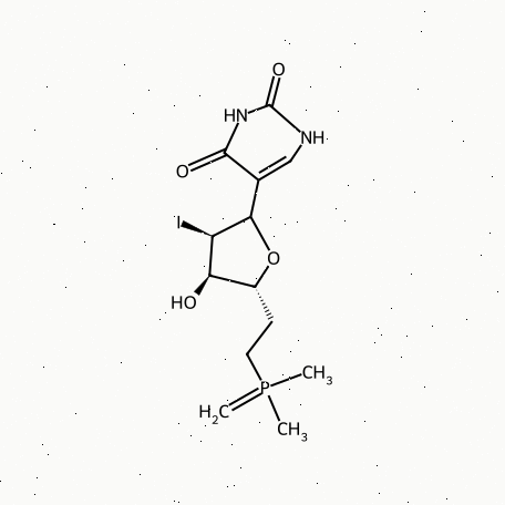 C=P(C)(C)CC[C@H]1OC(c2c[nH]c(=O)[nH]c2=O)[C@H](I)[C@@H]1O